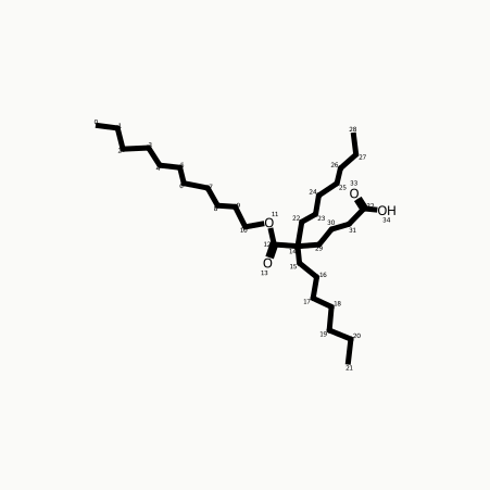 CCCCCCCCCCCOC(=O)C(CCCCCCC)(CCCCCCC)CCCC(=O)O